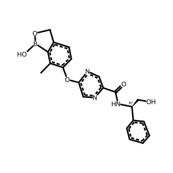 Cc1c(Oc2cnc(C(=O)N[C@@H](CO)c3ccccc3)cn2)ccc2c1B(O)OC2